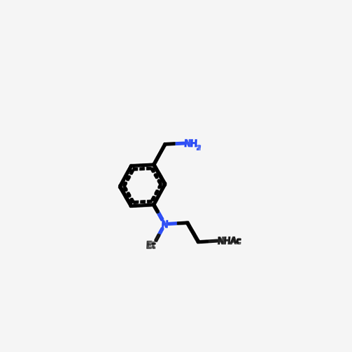 CCN(CCNC(C)=O)c1cccc(CN)c1